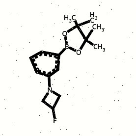 CC1(C)OB(c2cccc(N3CC(F)C3)c2)OC1(C)C